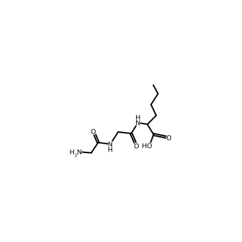 CCCCC(NC(=O)CNC(=O)CN)C(=O)O